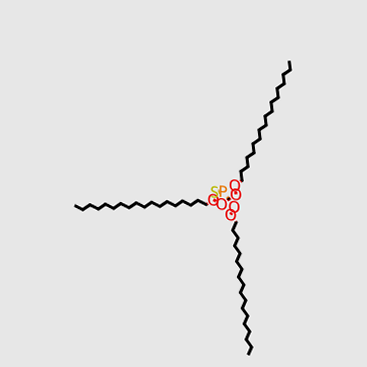 CCCCCCCCCCCCCCCCCCOOC(OOCCCCCCCCCCCCCCCCCC)(OOCCCCCCCCCCCCCCCCCC)P=S